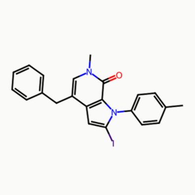 Cc1ccc(-n2c(I)cc3c(Cc4ccccc4)cn(C)c(=O)c32)cc1